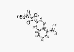 CCCCNS(=O)(=O)c1ccc2c(N(C)C)cccc2c1